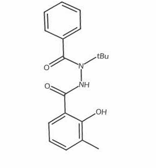 Cc1cccc(C(=O)NN(C(=O)c2ccccc2)C(C)(C)C)c1O